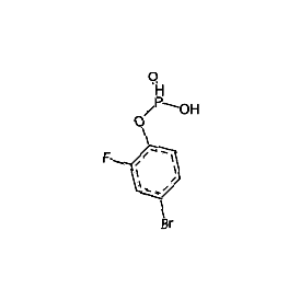 O=[PH](O)Oc1ccc(Br)cc1F